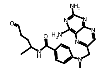 CC(CCC=O)NC(=O)c1ccc(N(C)Cc2cnc3nc(N)nc(N)c3n2)cc1